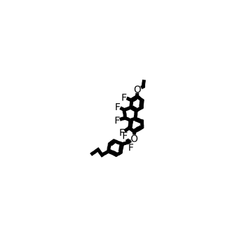 CCCc1ccc(C(F)(F)Oc2ccc3c(c2F)C(F)C(F)c2c-3ccc(OCC)c2F)cc1